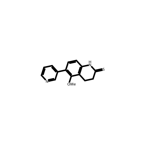 COc1c(-c2cccnc2)ccc2c1CCC(=S)N2